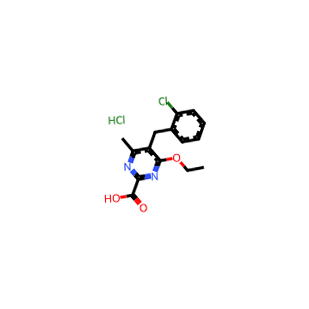 CCOc1nc(C(=O)O)nc(C)c1Cc1ccccc1Cl.Cl